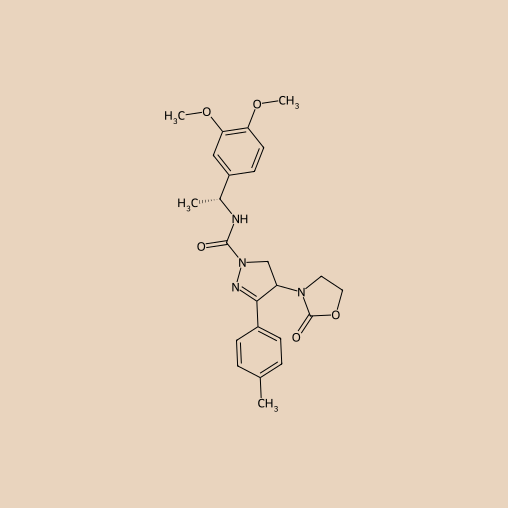 COc1ccc([C@@H](C)NC(=O)N2CC(N3CCOC3=O)C(c3ccc(C)cc3)=N2)cc1OC